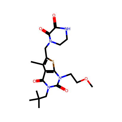 COCCn1c(=O)n(CC(C)(C)C)c(=O)c2c(C)c(CN3CCNC(=O)C3=O)sc21